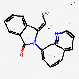 CCCC=C1c2ccccc2C(=O)N1c1cccc2cccnc12